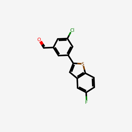 O=Cc1cc(Cl)cc(-c2cc3cc(F)ccc3s2)c1